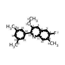 COc1cc2cc(F)c(C)cc2nc1-c1cc(C)cc(C)c1